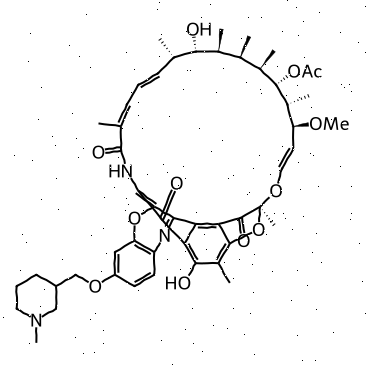 CO[C@H]1/C=C/O[C@@]2(C)Oc3c(C)c(O)c4c(=O)c(c5oc6cc(OCC7CCCN(C)C7)ccc6nc-5c4c3C2=O)NC(=O)/C(C)=C\C=C\[C@H](C)[C@H](O)[C@@H](C)[C@@H](C)[C@@H](C)[C@H](OC(C)=O)[C@@H]1C